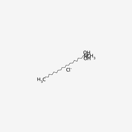 CCCCCCCCCCCCCCCCCCCC[N+](C)(O)O.[Cl-]